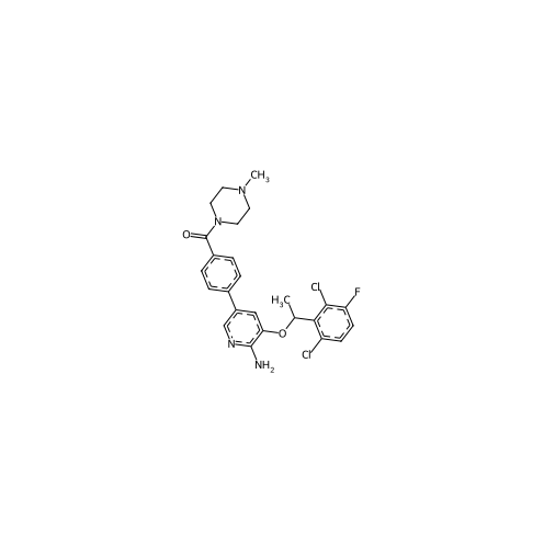 CC(Oc1cc(-c2ccc(C(=O)N3CCN(C)CC3)cc2)cnc1N)c1c(Cl)ccc(F)c1Cl